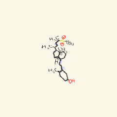 C=C1CC[C@H](O)C/C1=C/C=C1\CCC[C@]2(C)C(C(C)/C=C/[C@H](C)S(=O)(=O)C(C)(C)C)CC[C@@H]12